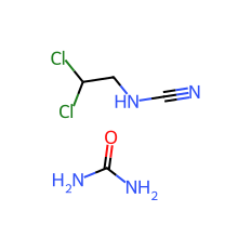 N#CNCC(Cl)Cl.NC(N)=O